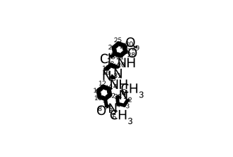 CN1CCC(N(C)C(=O)c2cccc(Nc3nccc(Nc4c(Cl)ccc5c4OCO5)n3)c2)C1